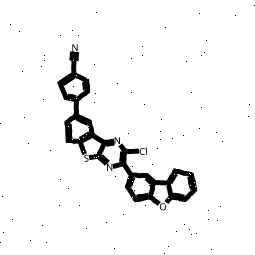 N#Cc1ccc(-c2ccc3sc4nc(-c5ccc6oc7ccccc7c6c5)c(Cl)nc4c3c2)cc1